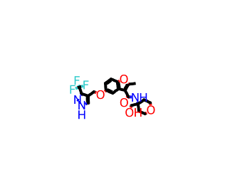 Cc1oc2ccc(OCc3c[nH]nc3C(F)(F)F)cc2c1C(=O)NC1(CO)CCOCC1